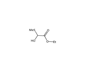 CCOC(=O)C(O)SC